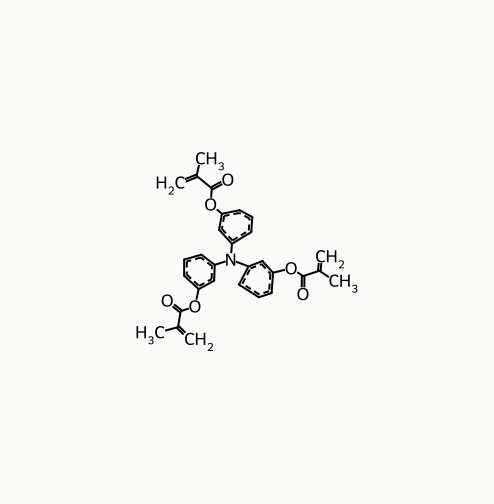 C=C(C)C(=O)Oc1cccc(N(c2cccc(OC(=O)C(=C)C)c2)c2cccc(OC(=O)C(=C)C)c2)c1